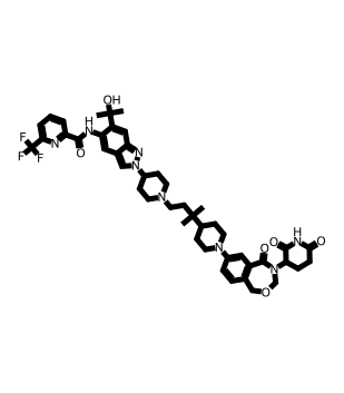 CC(C)(O)c1cc2nn(C3CCN(CCC(C)(C)C4CCN(c5ccc6c(c5)C(=O)N(C5CCC(=O)NC5=O)COC6)CC4)CC3)cc2cc1NC(=O)c1cccc(C(F)(F)F)n1